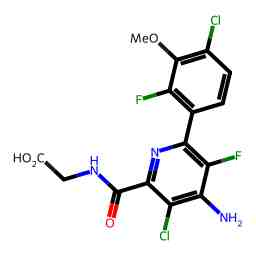 COc1c(Cl)ccc(-c2nc(C(=O)NCC(=O)O)c(Cl)c(N)c2F)c1F